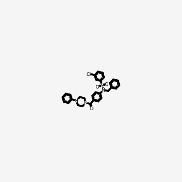 O=C(c1ccc(N(Cc2ccccc2)S(=O)(=O)c2cccc(Cl)c2)cc1)N1CCN(c2ccccc2)CC1